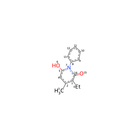 CCc1c(C)cc(O)n(-c2ccccc2)c1=O